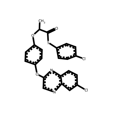 CC(Oc1ccc(Oc2cnc3cc(Cl)ccc3n2)cc1)C(=O)Sc1ccc(Cl)cc1